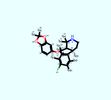 [2H]c1c([2H])c([C@]2([2H])CCNC([2H])([2H])C2C([2H])([2H])Oc2ccc3c(c2)OC([2H])([2H])O3)c([2H])c([2H])c1F